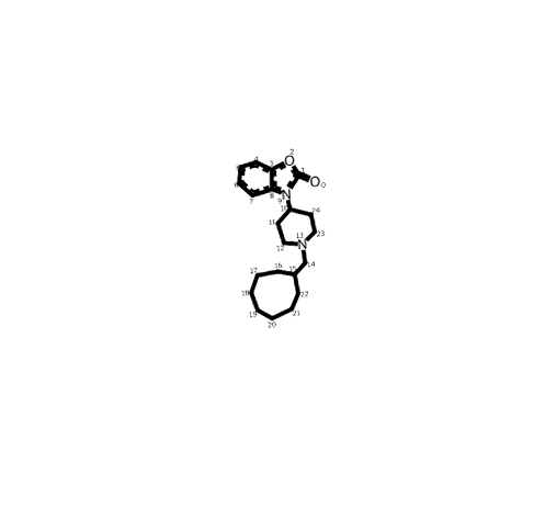 O=c1oc2ccccc2n1C1CCN(CC2CCCCCCC2)CC1